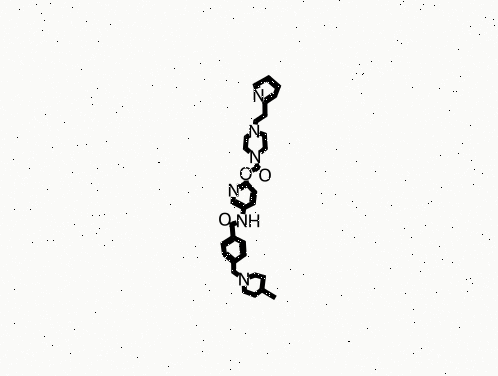 CC1CCN(Cc2ccc(C(=O)Nc3ccc(OC(=O)N4CCN(CCc5ccccn5)CC4)nc3)cc2)CC1